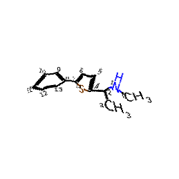 CNC(C)c1ccc(-c2ccccc2)s1